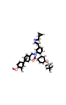 COc1ccc(C23CCC(CN(c4cccc(-c5cnc(C6CC6)s5)c4)C(=O)[C@H]4CC[C@H](O[Si](C)(C)C(C)(C)C)CC4)(CC2)CC3)cc1C